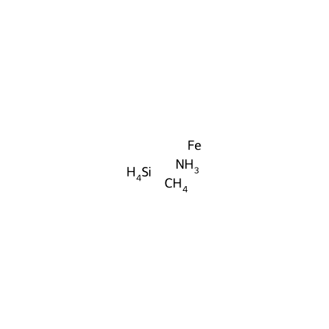 C.N.[Fe].[SiH4]